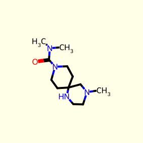 CN1CCNC2(CCN(C(=O)N(C)C)CC2)C1